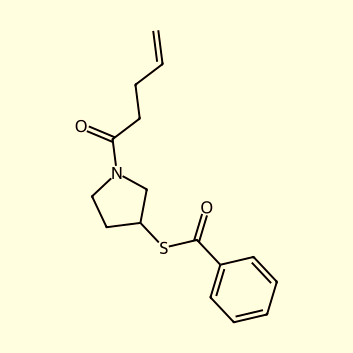 C=CCCC(=O)N1CCC(SC(=O)c2ccccc2)C1